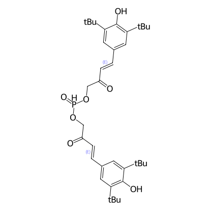 CC(C)(C)c1cc(/C=C/C(=O)CO[PH](=O)OCC(=O)/C=C/c2cc(C(C)(C)C)c(O)c(C(C)(C)C)c2)cc(C(C)(C)C)c1O